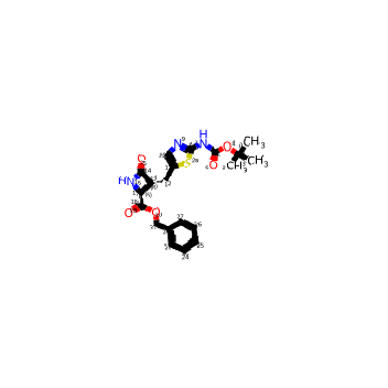 CC(C)(C)OC(=O)Nc1ncc(C[C@H]2C(=O)N[C@@H]2C(=O)OCc2ccccc2)s1